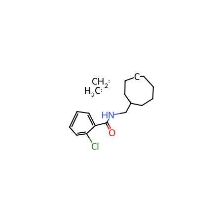 O=C(NC[C]1CCCCCCC1)c1ccccc1Cl.[CH2].[CH2]